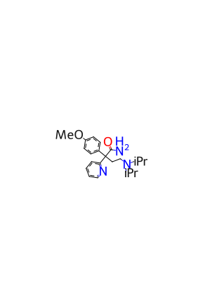 COc1ccc(C(CCN(C(C)C)C(C)C)(C(N)=O)c2ccccn2)cc1